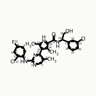 Cc1cnc(Nc2ccc(F)cc2Cl)nc1-c1c(C)[nH]c(C(=O)NC(CO)c2cccc(Cl)c2)c1C